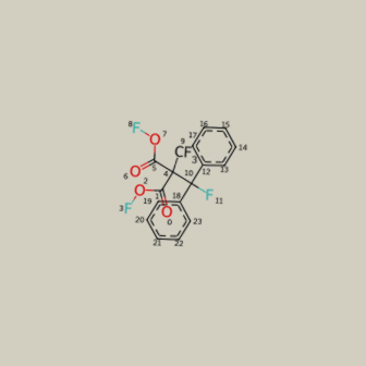 O=C(OF)C(C(=O)OF)(C(F)(F)F)C(F)(c1ccccc1)c1ccccc1